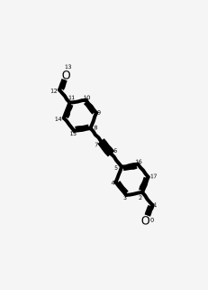 O=Cc1ccc(C#Cc2ccc(C=O)cc2)cc1